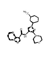 O=C(Nc1cn(C2CCCC(C(=O)O)C2)nc1N1CCOCC1)c1cnn2cccnc12